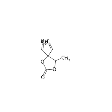 C=CC1(C=C)OC(=O)OC1C